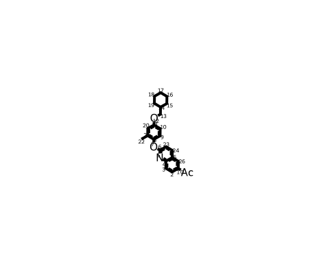 CC(=O)c1ccc2nc(Oc3ccc(OCC4CCCCC4)cc3C)ccc2c1